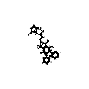 Cc1c2c(c(C)c(-c3ccccc3)c1-c1ccccc1)C(=O)N(CCC(=O)ON1C(=O)CCC1=O)C2=O